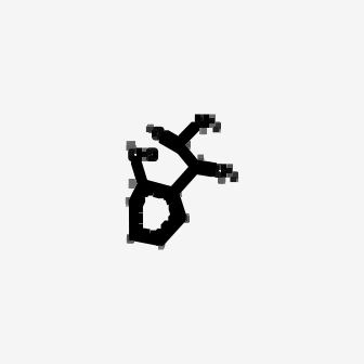 C=C(C(N)=O)c1ccccc1C=O